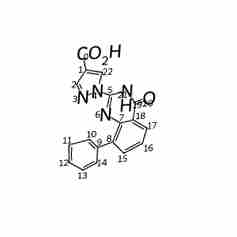 O=C(O)c1cnn(-c2nc3c(-c4ccccc4)cccc3c(=O)[nH]2)c1